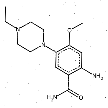 CCN1CCN(c2cc(C(N)=O)c(N)cc2OC)CC1